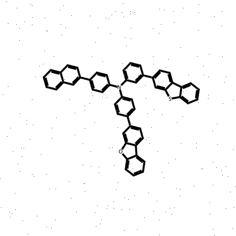 c1cc(-c2ccc3c(c2)sc2ccccc23)cc(N(c2ccc(-c3ccc4ccccc4c3)cc2)c2ccc(-c3ccc4c(c3)oc3ccccc34)cc2)c1